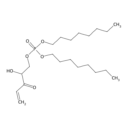 C=CC(=O)C(O)COP(=O)(OCCCCCCCC)OCCCCCCCC